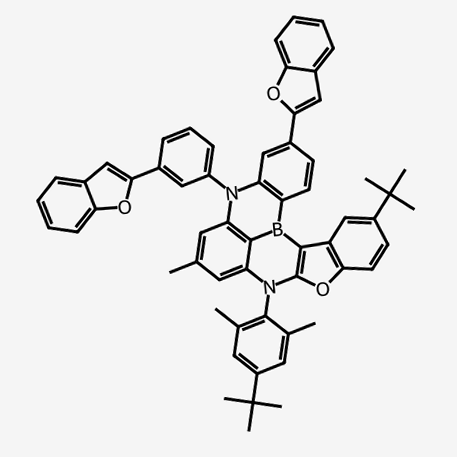 Cc1cc2c3c(c1)N(c1c(C)cc(C(C)(C)C)cc1C)c1oc4ccc(C(C)(C)C)cc4c1B3c1ccc(-c3cc4ccccc4o3)cc1N2c1cccc(-c2cc3ccccc3o2)c1